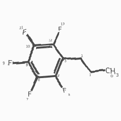 CCCc1c(F)c(F)c(F)c(F)c1F